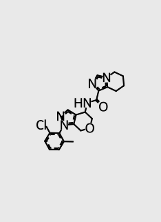 Cc1cccc(Cl)c1-n1ncc2c1COCC2NC(=O)c1ncn2c1CCCC2